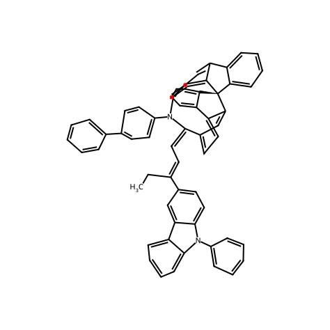 CC/C(=C\C=C1/c2ccc3c(c2)[C@@]2(c4ccccc4-3)c3ccccc3-c3ccc(cc32)N1c1ccc(-c2ccccc2)cc1)c1ccc2c(c1)c1ccccc1n2-c1ccccc1